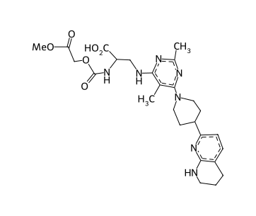 COC(=O)COC(=O)NC(CNc1nc(C)nc(N2CCC(c3ccc4c(n3)NCCC4)CC2)c1C)C(=O)O